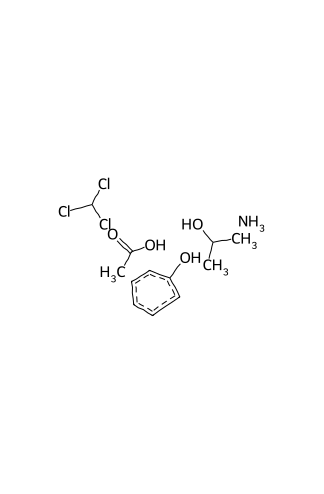 CC(=O)O.CC(C)O.ClC(Cl)Cl.N.Oc1ccccc1